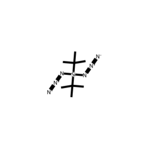 CC(C)(C)[Si](N=[N+]=[N-])(N=[N+]=[N-])C(C)(C)C